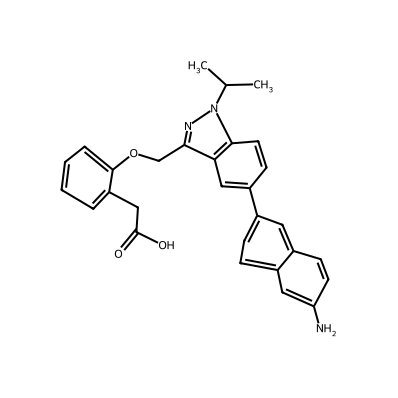 CC(C)n1nc(COc2ccccc2CC(=O)O)c2cc(-c3ccc4cc(N)ccc4c3)ccc21